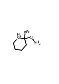 CCCC1(ON)CCCC[SiH2]1